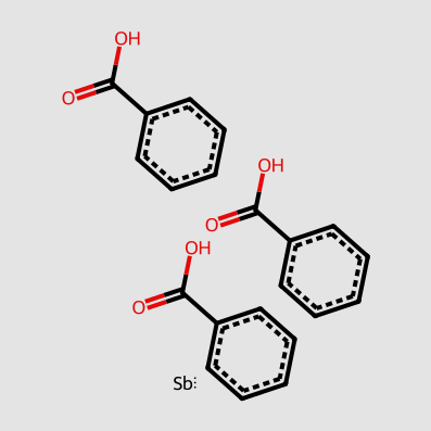 O=C(O)c1ccccc1.O=C(O)c1ccccc1.O=C(O)c1ccccc1.[Sb]